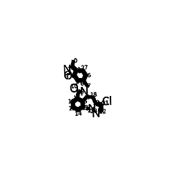 Cc1noc2cc(CN3C(=O)c4ccccc4C3Cc3c(Cl)cnn3C)ccc12